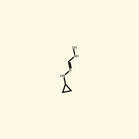 ONC=NNC1CC1